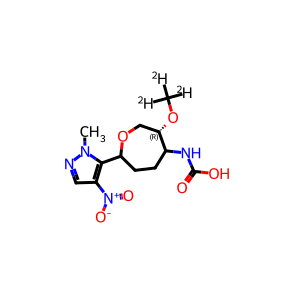 [2H]C([2H])([2H])O[C@H]1COC(c2c([N+](=O)[O-])cnn2C)CCC1NC(=O)O